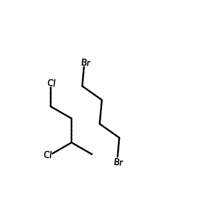 BrCCCCBr.CC(Cl)CCCl